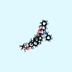 CC(C)(C)[Si](C)(C)OC1CC[C@@]2(C)C(=CC[C@@H]3[C@H]2CC[C@]2(C)C([C@]4(C)CN(Cc5ccccc5)[C@H](Cc5ccccc5)C(=O)O4)CC[C@@H]32)C1